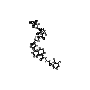 Cc1cccc(OCCCC(=O)N2CCCc3c(-c4cnn(CCNC(=O)C5(C(=O)NCCS(=O)(=O)O)CC5)c4)cccc32)c1C